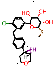 CS[C@H]1OC(c2ccc(Cl)c(Cc3ccc([C@]45CCOC[C@H]4P5)cc3)c2)[C@H](O)[C@@H](O)[C@@H]1O